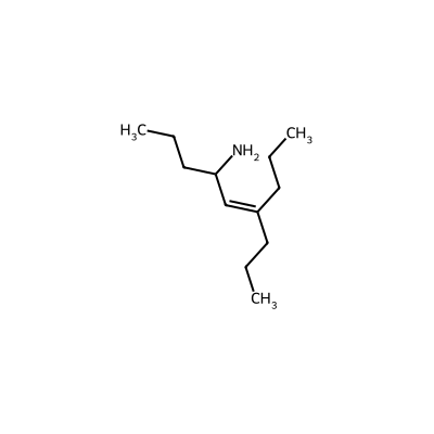 CCCC(=CC(N)CCC)CCC